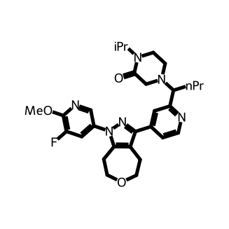 CCCC(c1cc(-c2nn(-c3cnc(OC)c(F)c3)c3c2CCOCC3)ccn1)N1CCN(C(C)C)C(=O)C1